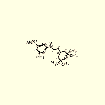 CNc1nc(NC)nc(NCCC2CC(C)(C)NC(C)(C)C2)n1